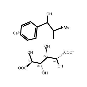 CNC(C)C(O)c1ccccc1.O=C([O-])[C@@H](O)[C@@H](O)[C@H](O)[C@@H](O)C(=O)[O-].[Ca+2]